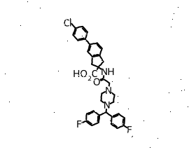 O=C(CN1CCN(C(c2ccc(F)cc2)c2ccc(F)cc2)CC1)NC1(C(=O)O)Cc2ccc(-c3ccc(Cl)cc3)cc2C1